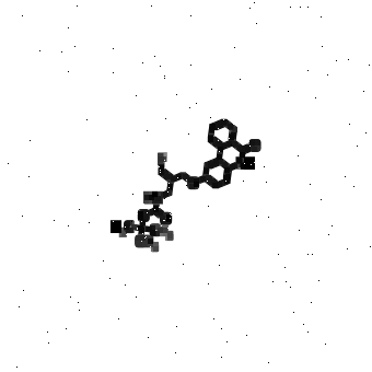 CC(C)(C)OC(=O)NC/C(=C/F)COc1ccc2[nH]c(=O)c3ccccc3c2c1